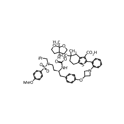 COc1ccc(S(=O)(=O)N(CC[C@H](Cc2ccc(OC3CN(c4ccccc4-c4sc5c(c4C(=O)O)CC(C)(C)CC5)C3)cc2)NC(=O)O[C@H]2COC3(C)OCC[C@@H]23)CC(C)C)cc1